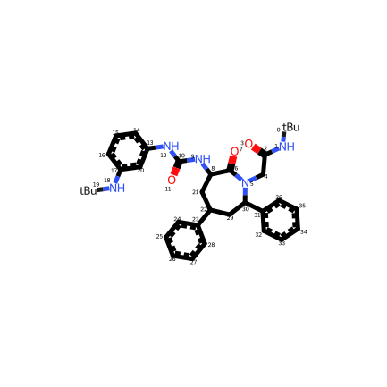 CC(C)(C)NC(=O)CN1C(=O)C(NC(=O)Nc2cccc(NC(C)(C)C)c2)CC(c2ccccc2)CC1c1ccccc1